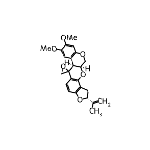 C=C(C)[C@H]1Cc2c(ccc3c2O[C@@H]2COc4cc(OC)c(OC)cc4[C@@H]2C32CO2)O1